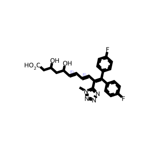 Cn1nnnc1C(/C=C/C=C/C(O)CC(O)CC(=O)O)=C(c1ccc(F)cc1)c1ccc(F)cc1